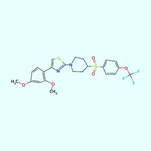 COc1ccc(-c2csc(N3CCC(S(=O)(=O)c4ccc(OC(F)(F)F)cc4)CC3)n2)c(OC)c1